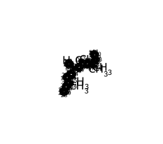 CC1(C)c2cc(N(c3ccccc3)c3ccc4c5c(ccc4c3)-c3cc4ccccc4cc3C5(C)C)ccc2-c2cc3c(cc21)-c1c(ccc2ccccc12)C3(C)C